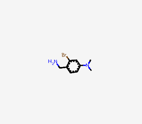 CN(C)c1ccc(CN)c(Br)c1